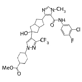 COC(=O)C1CCC(n2cc(C3(O)CC4CC(c5ncn(C)c5C(=O)Nc5ccc(F)c(Cl)c5)CC4C3)c(C(F)(F)F)n2)CC1